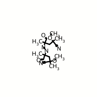 COC(C)(C#N)CC(C)(C=O)N=NC(C)(C=O)CC(C)(C#N)OC